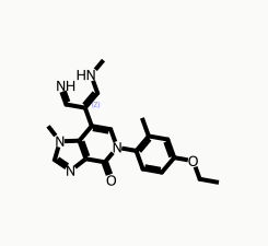 CCOc1ccc(-n2cc(/C(C=N)=C/NC)c3c(ncn3C)c2=O)c(C)c1